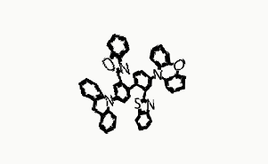 c1ccc2c(c1)Cc1ccccc1N2c1ccc(-c2ccc(N3c4ccccc4Oc4ccccc43)cc2-c2nc3ccccc3s2)c(-c2nc3ccccc3o2)c1